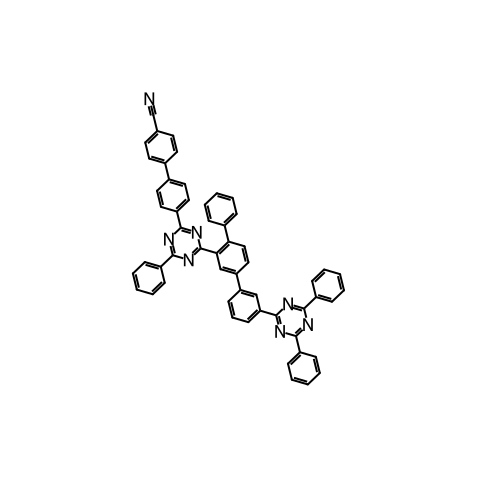 N#Cc1ccc(-c2ccc(-c3nc(-c4ccccc4)nc(-c4cc(-c5cccc(-c6nc(-c7ccccc7)nc(-c7ccccc7)n6)c5)ccc4-c4ccccc4)n3)cc2)cc1